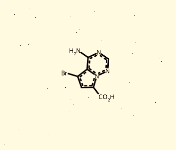 Nc1ncnn2c(C(=O)O)cc(Br)c12